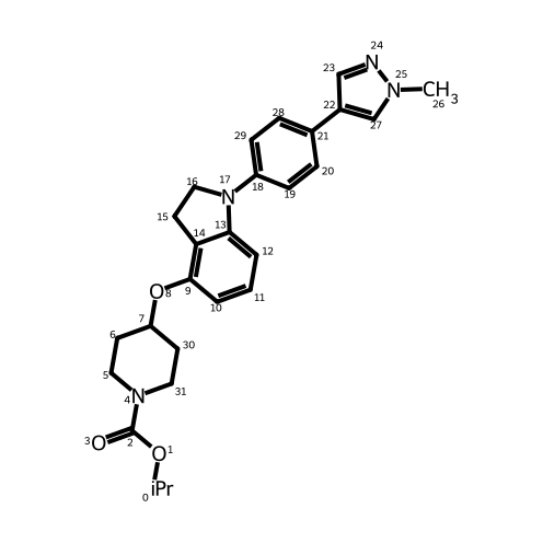 CC(C)OC(=O)N1CCC(Oc2cccc3c2CCN3c2ccc(-c3cnn(C)c3)cc2)CC1